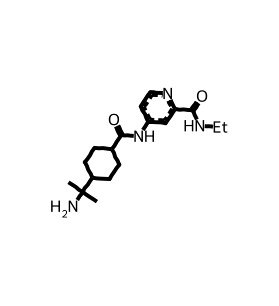 CCNC(=O)c1cc(NC(=O)C2CCC(C(C)(C)N)CC2)ccn1